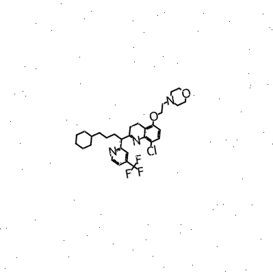 FC(F)(F)c1ccnc(C(CCCC2CCCCC2)C2=Nc3c(Cl)ccc(OCCN4CCOCC4)c3CC2)c1